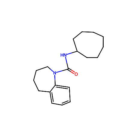 O=C(NC1CCCCCCC1)N1CCCCc2ccccc21